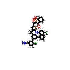 CC1(C)c2cc(-c3cc(C#N)ccc3F)ccc2N(c2ccc(F)c3ccccc23)c2sc(/C=C3\C(=O)c4ccccc4S3(=O)=O)cc21